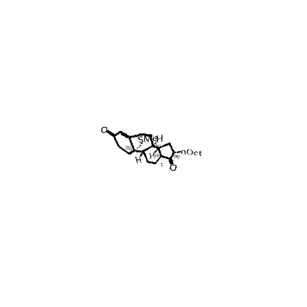 CCCCCCCC[C@@H]1C[C@H]2[C@@H]3CCC4=CC(=O)CC[C@]4(CSC)[C@H]3CC[C@]2(C)C1=O